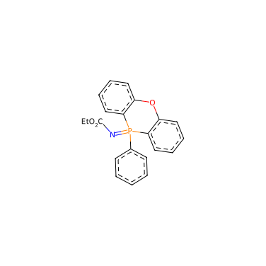 CCOC(=O)N=P1(c2ccccc2)c2ccccc2Oc2ccccc21